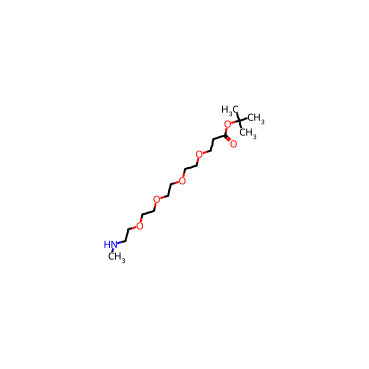 CNCCOCCOCCOCCOCCC(=O)OC(C)(C)C